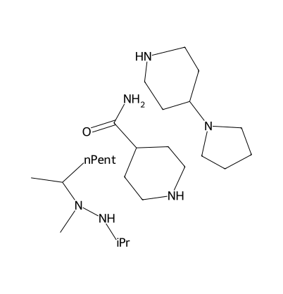 C1CCN(C2CCNCC2)C1.CCCCCC(C)N(C)NC(C)C.NC(=O)C1CCNCC1